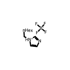 CCCCCCC[NH+]1C=CN=C1.F[B-](F)(F)F